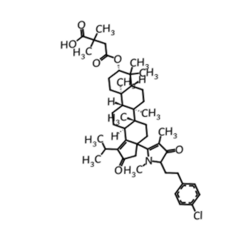 CC1=C(C23CC[C@]4(C)[C@H](CC[C@@H]5[C@@]6(C)CC[C@H](OC(=O)CC(C)(C)C(=O)O)C(C)(C)[C@@H]6CC[C@]54C)C2=C(C(C)C)C(=O)C3)N(C)C(CCc2ccc(Cl)cc2)C1=O